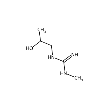 CNC(=N)NCC(C)O